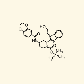 CC(C)(C)OC(=O)N1CCC(NC(=O)c2ccc3c(c2)OCCO3)CC1c1nc2ccccc2n1CCO